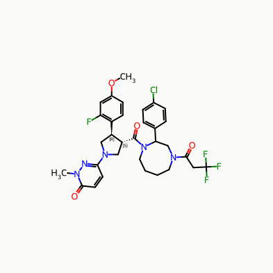 COc1ccc([C@@H]2CN(c3ccc(=O)n(C)n3)C[C@H]2C(=O)N2CCCCN(C(=O)CC(F)(F)F)CC2c2ccc(Cl)cc2)c(F)c1